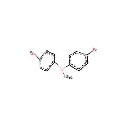 CCCCB(c1ccc(Br)cc1)c1ccc(Br)cc1